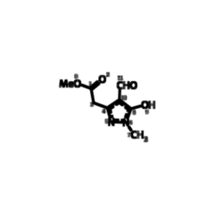 COC(=O)Cc1nn(C)c(O)c1C=O